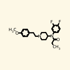 CCC(=O)N(c1ccc(F)c(F)c1)C1CCN(CCc2ccc(OC)cc2)CC1